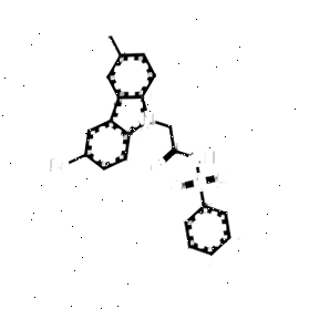 Cc1ccc2c(c1)c1cc(Br)ccc1n2CC(=O)NS(=O)(=O)c1ccccc1